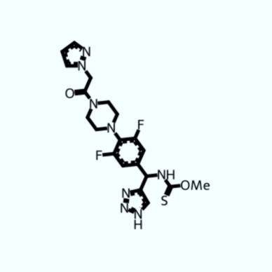 COC(=S)NC(c1cc(F)c(N2CCN(C(=O)Cn3cccn3)CC2)c(F)c1)c1c[nH]nn1